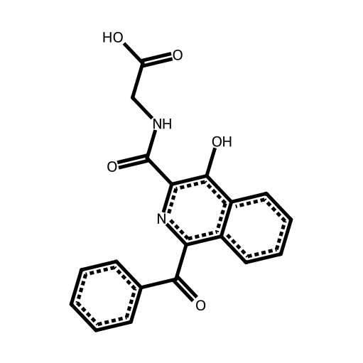 O=C(O)CNC(=O)c1nc(C(=O)c2ccccc2)c2ccccc2c1O